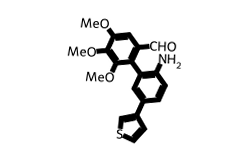 COc1cc(C=O)c(-c2cc(-c3ccsc3)ccc2N)c(OC)c1OC